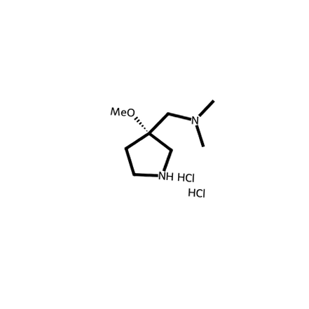 CO[C@@]1(CN(C)C)CCNC1.Cl.Cl